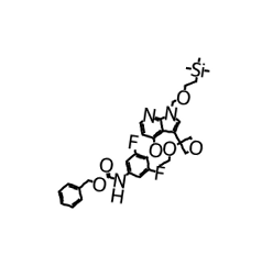 CCOC1(c2cn(COCC[Si](C)(C)C)c3nccc(Oc4c(F)cc(NC(=O)OCc5ccccc5)cc4F)c23)COC1